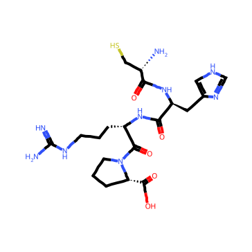 N=C(N)NCCC[C@H](NC(=O)[C@H](Cc1c[nH]cn1)NC(=O)[C@@H](N)CS)C(=O)N1CCC[C@H]1C(=O)O